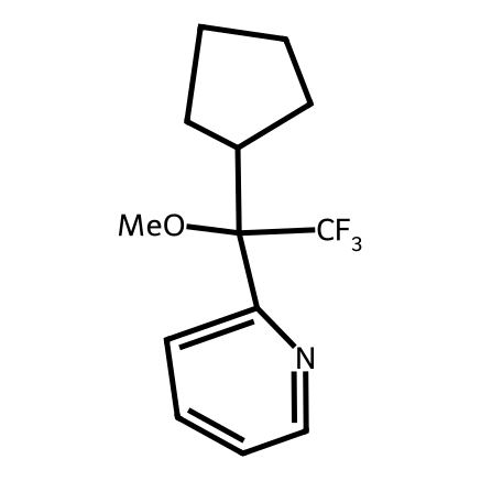 COC(c1ccccn1)(C1CCCC1)C(F)(F)F